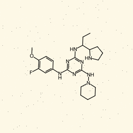 CCC(Nc1nc(Nc2ccc(OC)c(F)c2)nc(NN2CCCCC2)n1)C1CCCN1